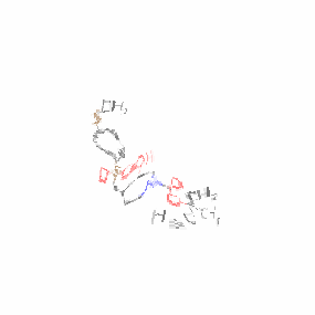 CSc1ccc(S(=O)(=O)C[C@@H]2CCN(C(=O)OC(C)(C)C)C[C@H]2O)cc1